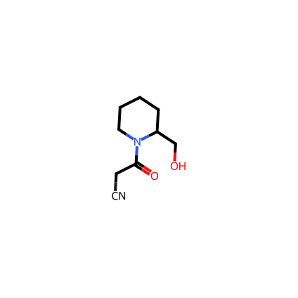 N#CCC(=O)N1CCCCC1CO